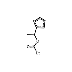 CCC(=O)OC(C)c1cccs1